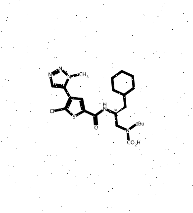 Cn1nncc1-c1cc(C(=O)N[C@@H](CC2CCCCC2)CN(C(=O)O)C(C)(C)C)sc1Cl